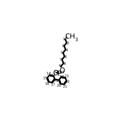 CCCCCCCCCCOP1Oc2ccccc2-c2ccccc21